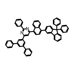 c1ccc(-c2cc(-c3ccccc3)cc(-c3cc(-c4ccc(-c5ccc6c(c5)-c5ccccc5C6(c5ccccc5)c5ccccc5)c5ccccc45)nc(-c4ccccc4)n3)c2)cc1